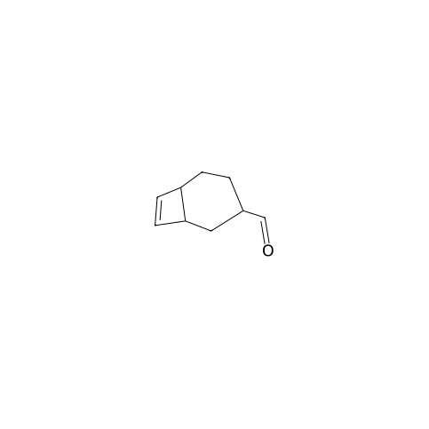 O=CC1CCC2C=CC2C1